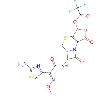 CON=C(C(=O)NC1C(=O)N2C3=C(SCC12)C(OC(=O)C(F)(F)F)OC3=O)c1csc(N)n1